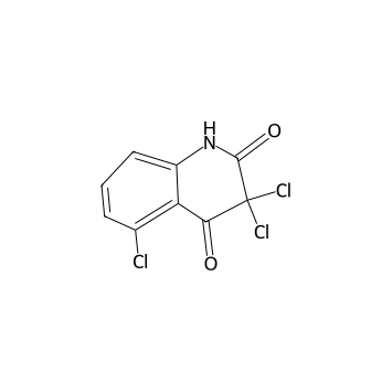 O=C1Nc2cccc(Cl)c2C(=O)C1(Cl)Cl